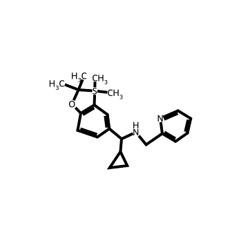 CC1(C)Oc2ccc(C(NCc3ccccn3)C3CC3)cc2S1(C)C